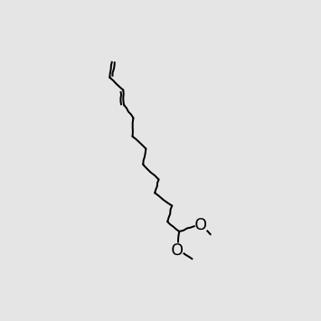 C=C/C=C/CCCCCCCCC(OC)OC